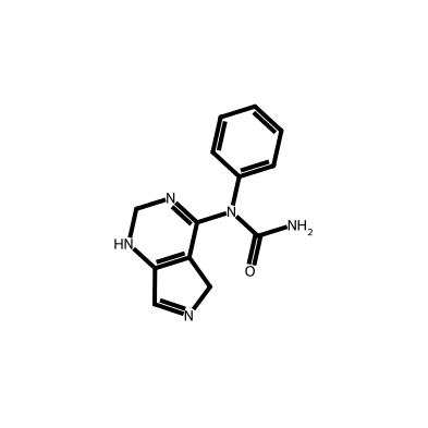 NC(=O)N(C1=NCNC2=C1CN=C2)c1ccccc1